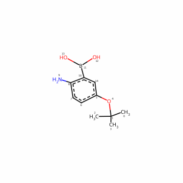 CC(C)(C)Oc1ccc(N)c(B(O)O)c1